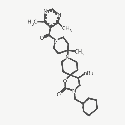 CCCCC1CN(CC2CCCCC2)C(=O)OC12CCN(C1(C)CCN(C(=O)c3c(C)ncnc3C)CC1)CC2